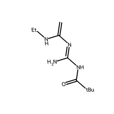 C=C(/N=C(\N)NC(=O)C(C)(C)C)NCC